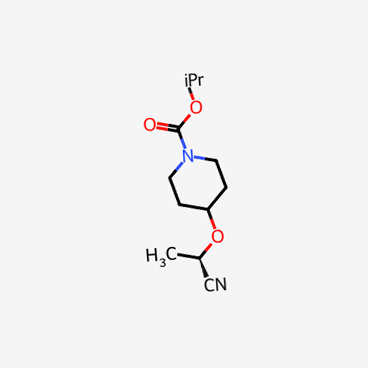 CC(C)OC(=O)N1CCC(O[C@H](C)C#N)CC1